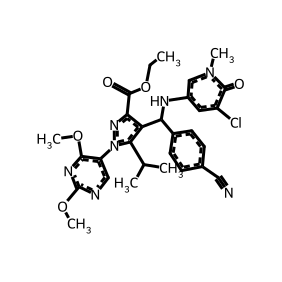 CCOC(=O)c1nn(-c2cnc(OC)nc2OC)c(C(C)C)c1C(Nc1cc(Cl)c(=O)n(C)c1)c1ccc(C#N)cc1